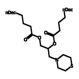 CCCCCCCCCCCCCC(=O)OCC(CN1CCSCC1)OC(=O)CCCCCCCCCCCCC